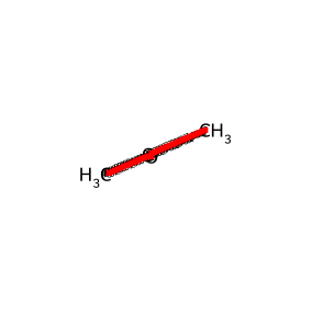 CCCCCCCCCCCCCCCCCCCCCCCCCCCCCCCCCCCCCC(=O)OCCCCCCCCCCCCCCCCCCCCCCCCCCCCC